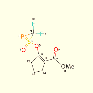 COC(=O)C1=C(OS2(=O)=PC2(F)F)CCC1